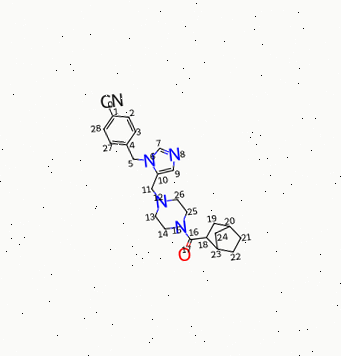 N#Cc1ccc(Cn2cncc2CN2CCN(C(=O)C3CC4CCC3C4)CC2)cc1